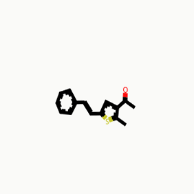 CC(=O)c1cc(C=Cc2ccccc2)sc1C